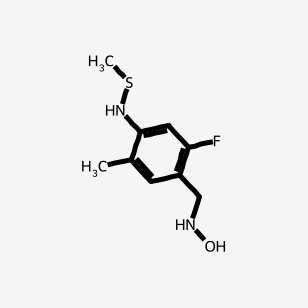 CSNc1cc(F)c(CNO)cc1C